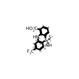 N=C=S.O=C(O)c1cccc2c1Nc1cc(C(F)(F)F)ccc1S2